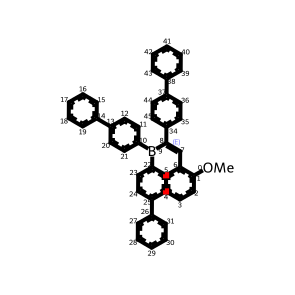 COc1ccccc1/C=C(\B(c1ccc(-c2ccccc2)cc1)c1ccc(-c2ccccc2)cc1)c1ccc(-c2ccccc2)cc1